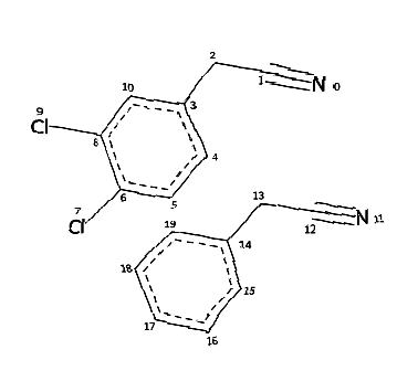 N#CCc1ccc(Cl)c(Cl)c1.N#CCc1ccccc1